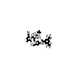 CC(NC1CC(C=O)N(CC(NC(=O)OC(C)(C)C)C(=O)N2C(C#N)CC(C)C2C)C1)c1cc(C(F)(F)F)cc(C(F)(F)F)c1